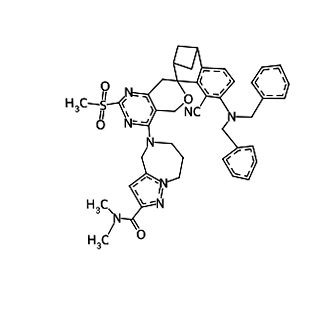 CN(C)C(=O)c1cc2n(n1)CCCN(c1nc(S(C)(=O)=O)nc3c1COC1(C3)c3c(ccc(N(Cc4ccccc4)Cc4ccccc4)c3C#N)C3CC1C3)C2